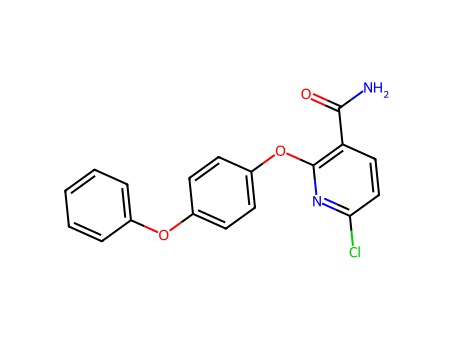 NC(=O)c1ccc(Cl)nc1Oc1ccc(Oc2ccccc2)cc1